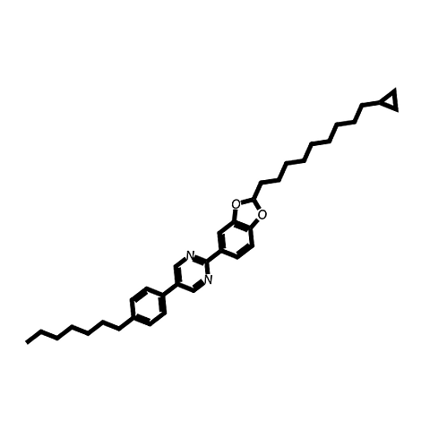 CCCCCCCc1ccc(-c2cnc(-c3ccc4c(c3)OC(CCCCCCCCCC3CC3)O4)nc2)cc1